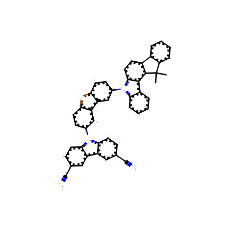 CC1(C)c2ccccc2-c2ccc3c(c21)c1ccccc1n3-c1ccc2sc3ccc(-n4c5ccc(C#N)cc5c5cc(C#N)ccc54)cc3c2c1